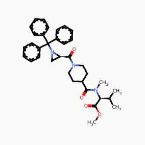 COC(=O)[C@H](C(C)C)N(C)C(=O)C1CCN(C(=O)[C@H]2CN2C(c2ccccc2)(c2ccccc2)c2ccccc2)CC1